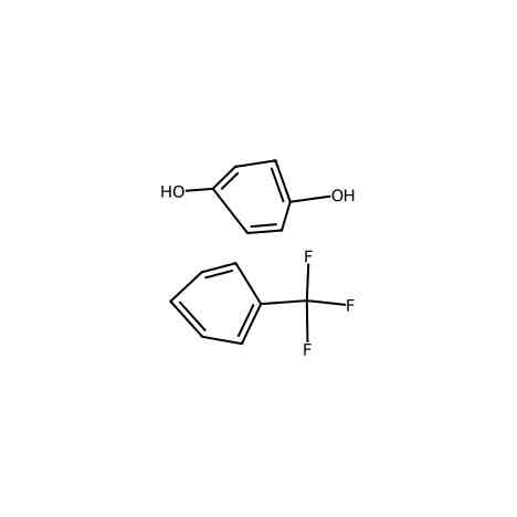 FC(F)(F)c1ccccc1.Oc1ccc(O)cc1